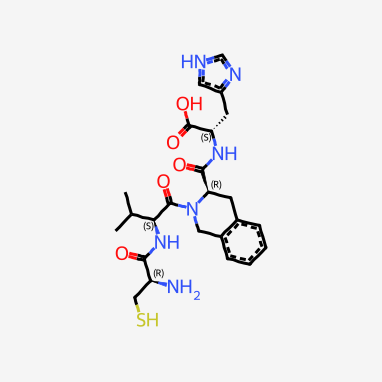 CC(C)[C@H](NC(=O)[C@@H](N)CS)C(=O)N1Cc2ccccc2C[C@@H]1C(=O)N[C@@H](Cc1c[nH]cn1)C(=O)O